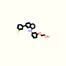 OCCOc1cccc(NC2CCCc3ccc(-c4cccc(F)c4)cc32)c1